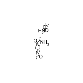 CCC(=O)N1CC2(CCN(C(=O)[C@H](N)CCCCNC(=O)OC(C)(C)C)CC2)C1